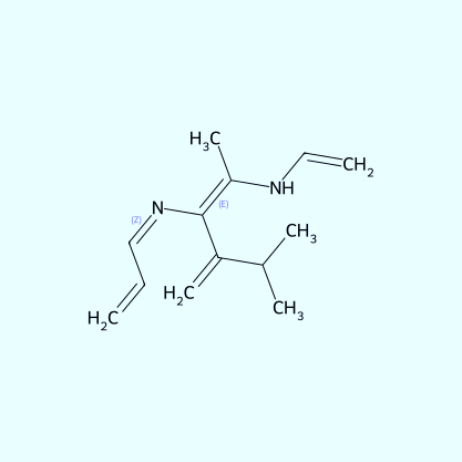 C=C/C=N\C(C(=C)C(C)C)=C(/C)NC=C